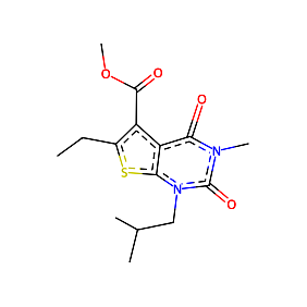 CCc1sc2c(c1C(=O)OC)c(=O)n(C)c(=O)n2CC(C)C